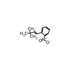 CC(C)(C)/C=C/c1ccccc1[N+](=O)[O-]